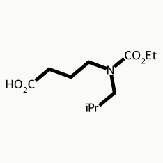 CCOC(=O)N(CCCC(=O)O)CC(C)C